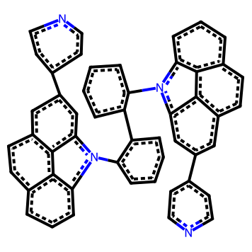 c1ccc(-n2c3cccc4ccc5cc(-c6ccncc6)cc2c5c43)c(-c2ccccc2-n2c3cccc4ccc5cc(-c6ccncc6)cc2c5c43)c1